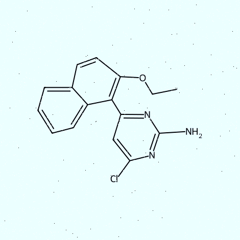 CCOc1ccc2ccccc2c1-c1cc(Cl)nc(N)n1